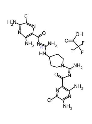 NC(=NC(=O)c1nc(Cl)c(N)nc1N)N1CCC(N/C(N)=N/C(=O)c2nc(Cl)c(N)nc2N)CC1.O=C(O)C(F)(F)F